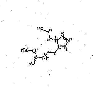 CC(C)(C)OC(=O)NCCc1nnnn1CCF